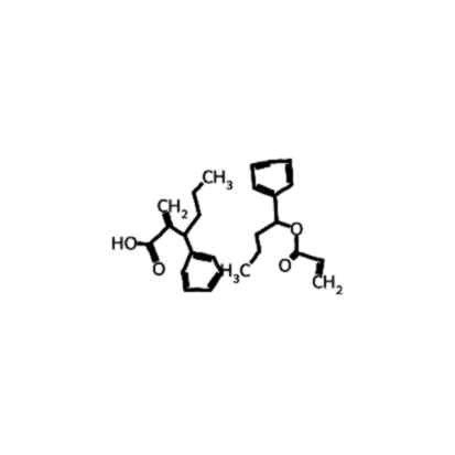 C=C(C(=O)O)C(CCC)c1ccccc1.C=CC(=O)OC(CCC)c1ccccc1